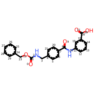 O=C(NCc1ccc(C(=O)Nc2cccc(C(=O)O)c2)cc1)OCc1ccccc1